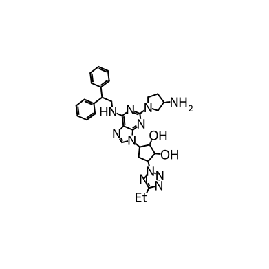 CCc1nnn(C2CC(n3cnc4c(NCC(c5ccccc5)c5ccccc5)nc(N5CC[C@@H](N)C5)nc43)C(O)C2O)n1